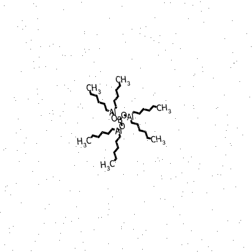 CCCCC[CH2][Al]([CH2]CCCCC)[O]B([O][Al]([CH2]CCCCC)[CH2]CCCCC)[O][Al]([CH2]CCCCC)[CH2]CCCCC